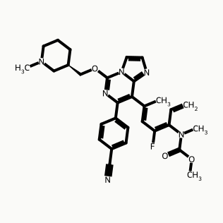 C=C/C(=C(F)\C=C(/C)c1c(-c2ccc(C#N)cc2)nc(OC[C@@H]2CCCN(C)C2)n2ccnc12)N(C)C(=O)OC